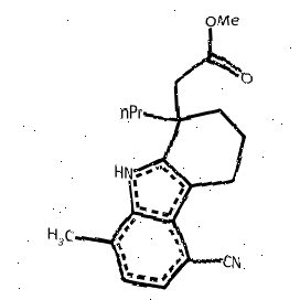 CCCC1(CC(=O)OC)CCCc2c1[nH]c1c(C)ccc(C#N)c21